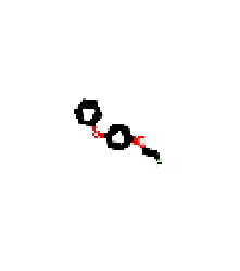 FCCOc1ccc(Oc2ccccc2)cc1